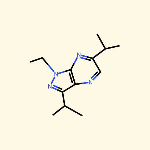 CCn1nc(C(C)C)c2ncc(C(C)C)nc21